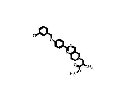 COC(=O)C(C)CN1CCc2nc(-c3ccc(OCc4cccc(Cl)c4)cc3)ncc2C1